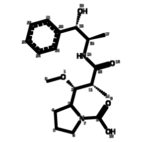 CO[C@@H](C1CCCN1C(=O)O)[C@@H](C)C(=O)N[C@H](C)[C@@H](O)c1ccccc1